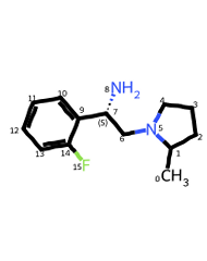 CC1CCCN1C[C@@H](N)c1ccccc1F